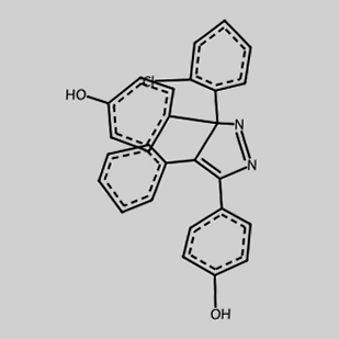 Oc1ccc(C2=C(c3ccccc3)C(c3ccc(O)cc3)(c3ccccc3Cl)N=N2)cc1